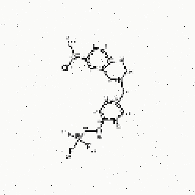 [O-][S+](Cl)c1ccc2c(c1)CN(Cc1ccc(OCC(F)(F)F)nc1)CC2